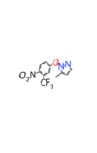 Cc1ccnn1Oc1ccc([N+](=O)[O-])c(C(F)(F)F)c1